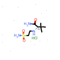 CC(C)(C)[C@H](NCCS(N)(=O)=O)C(N)=O.Cl